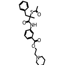 CC(=O)SC(C)(Cc1ccccc1)C(=O)Nc1cccc(C(=O)OCCN2CCCCC2)c1